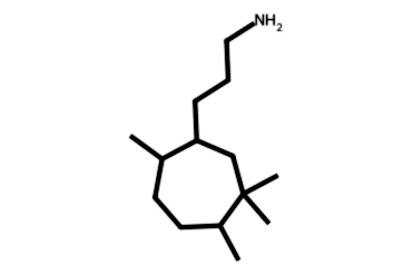 CC1CCC(C)C(C)(C)CC1CCCN